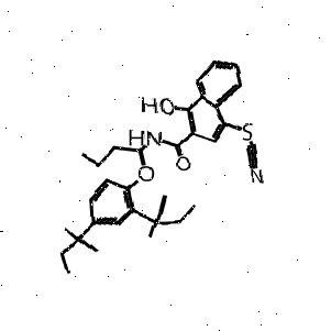 CCCC(NC(=O)c1cc(SC#N)c2ccccc2c1O)Oc1ccc(C(C)(C)CC)cc1C(C)(C)CC